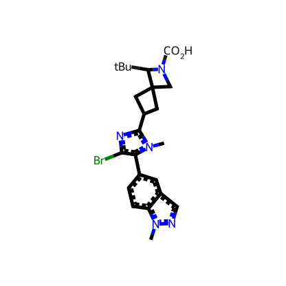 Cn1c(C2CC3(C2)CN(C(=O)O)C3C(C)(C)C)nc(Br)c1-c1ccc2c(cnn2C)c1